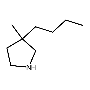 CCCCC1(C)CCNC1